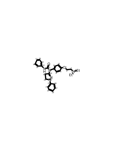 CCN(CC)CCOc1ccc(N(C(=O)Nc2ccccc2)C2=NN(c3ccccc3)CC2)cc1